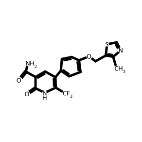 Cc1ncsc1COc1ccc(-c2cc(C(N)=O)c(=O)[nH]c2C(F)(F)F)cc1